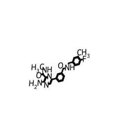 CNC(=O)c1nc(-c2cccc(C(=O)NCc3ccc(F)c(C)c3)c2)cnc1N